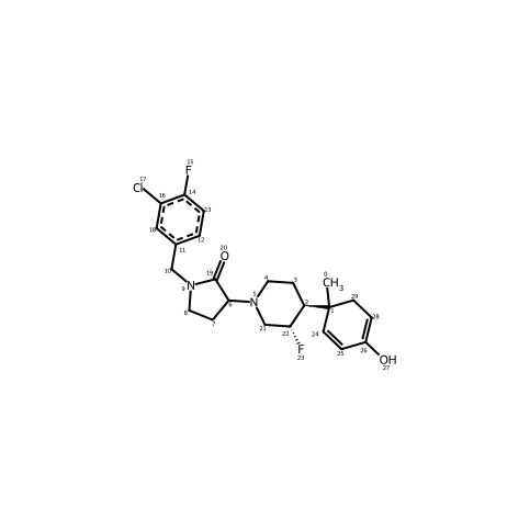 CC1([C@@H]2CCN(C3CCN(Cc4ccc(F)c(Cl)c4)C3=O)C[C@H]2F)C=CC(O)=CC1